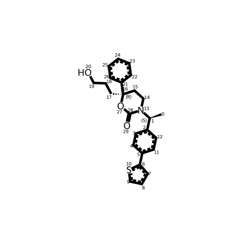 C[C@@H](c1ccc(-c2cccs2)cc1)N1CC[C@](CCCO)(c2ccccc2)OC1=O